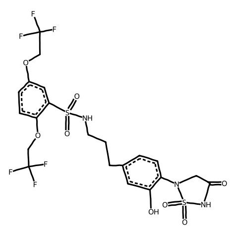 O=C1CN(c2ccc(CCCNS(=O)(=O)c3cc(OCC(F)(F)F)ccc3OCC(F)(F)F)cc2O)S(=O)(=O)N1